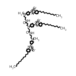 CCCCCCCCCCCCc1ccc(N=Nc2ccc(N(C)CCCNC(=O)CCN(CCC(=O)NCCCN(C)c3ccc(N=Nc4ccc(CCCCCCCCCCCC)cc4[N+](=O)[O-])cc3)c3ccc(N=Nc4ccc(CCCCCCCCCCCC)cc4[N+](=O)[O-])cc3)cc2)c([N+](=O)[O-])c1